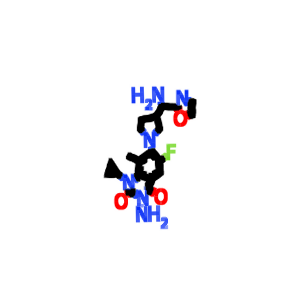 Cc1c(N2CCC(C(N)c3ncco3)C2)c(F)cc2c(=O)n(N)c(=O)n(C3CC3)c12